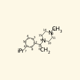 C=C(c1cccc(C(C)C)c1)N1CCN(C)CC1